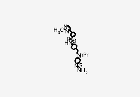 CCCN(CCC1CCC(NS(=O)(=O)c2cccc(-c3ccnc(C)n3)c2)CC1)[C@H]1CCc2nc(N)sc2C1